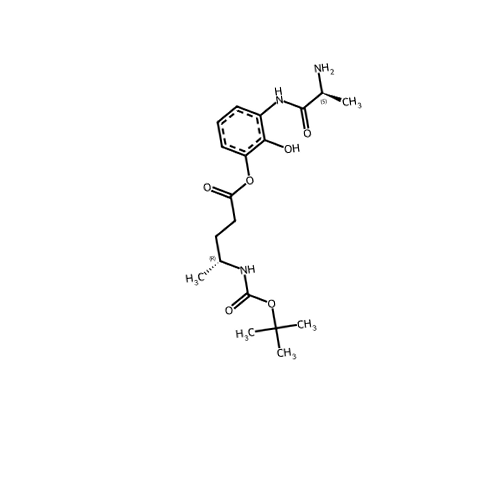 C[C@H](CCC(=O)Oc1cccc(NC(=O)[C@H](C)N)c1O)NC(=O)OC(C)(C)C